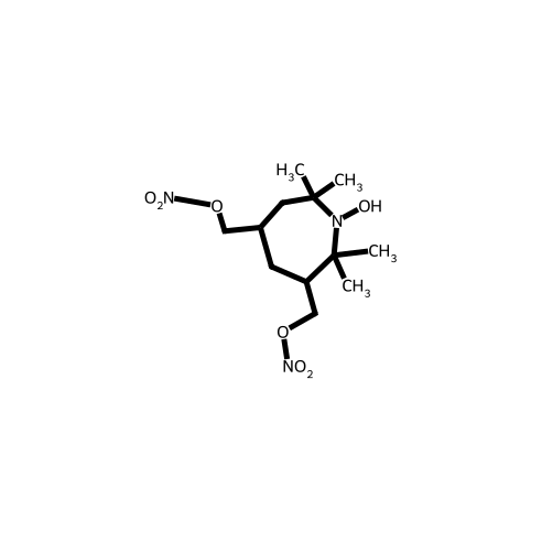 CC1(C)CC(CO[N+](=O)[O-])CC(CO[N+](=O)[O-])C(C)(C)N1O